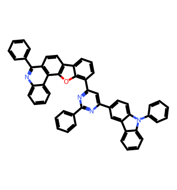 c1ccc(-c2nc(-c3ccc4c(c3)c3ccccc3n4-c3ccccc3)cc(-c3cccc4c3oc3c4ccc4c(-c5ccccc5)nc5ccccc5c43)n2)cc1